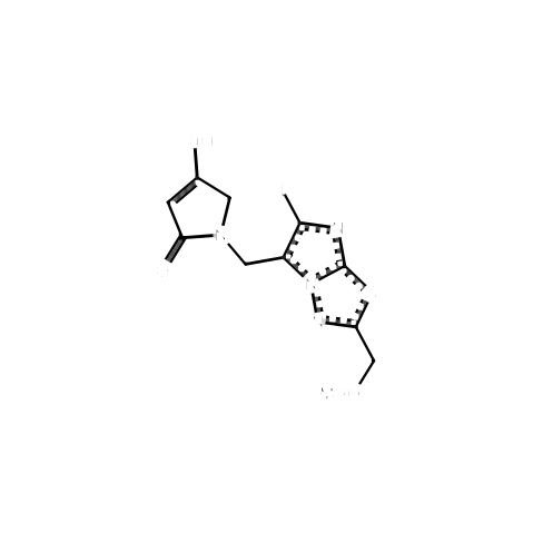 CCCC1=CC(=O)N(Cc2c(Cl)nc3sc(COC)nn23)C1